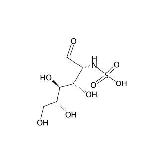 O=C[C@H](NS(=O)(=O)O)[C@H](O)[C@H](O)[C@H](O)CO